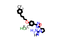 Cl.[H]/N=C(\N)N1CCC[C@H]1c1nc(-c2ccc(OCCC=Cc3ccc(C(F)(F)F)cc3)c(C(F)(F)F)c2)no1